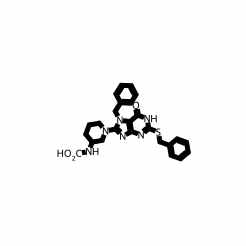 O=C(O)NC1CCCN(c2nc3nc(SCc4ccccc4)[nH]c(=O)c3n2Cc2ccccc2)C1